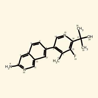 Cc1c(-c2ccc3cc(N)ncc3c2)cnc(C(C)(C)O)c1F